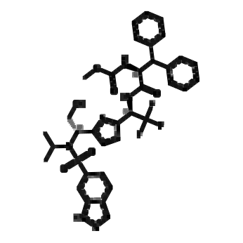 COC(=O)N[C@H](C(=O)N[C@H](c1ccc([C@@H](CO)N(C(C)C)S(=O)(=O)c2ccc3cn[nH]c3c2)s1)C(F)(F)F)C(c1ccccc1)c1ccccc1